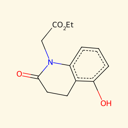 CCOC(=O)CN1C(=O)CCc2c(O)cccc21